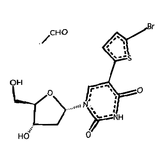 O=c1[nH]c(=O)n([C@@H]2C[C@H](O)[C@@H](CO)O2)cc1-c1ccc(Br)s1.[CH2]C=O